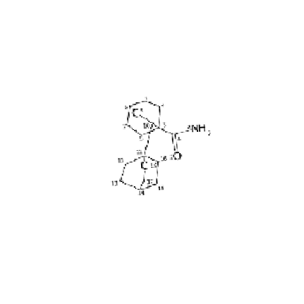 NC(=O)C12CC[C](CC1)CC2C12CCC(CC1)CC2